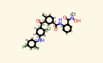 CCN(O)C(=O)c1ccccc1NC(=O)c1ccc(C)c(C(=O)c2ccc(Nc3ccc(F)cc3F)cc2Cl)c1